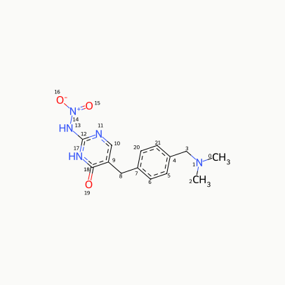 CN(C)Cc1ccc(Cc2cnc(N[N+](=O)[O-])[nH]c2=O)cc1